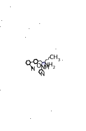 CCCC/C(N)=C(\Cc1ccc(-c2ccccc2C#N)cc1)C(=O)Nc1cccnc1